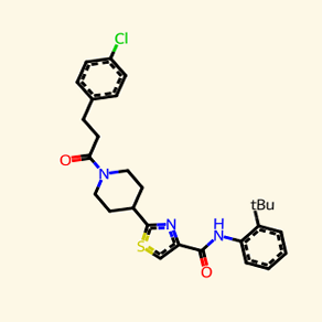 CC(C)(C)c1ccccc1NC(=O)c1csc(C2CCN(C(=O)CCc3ccc(Cl)cc3)CC2)n1